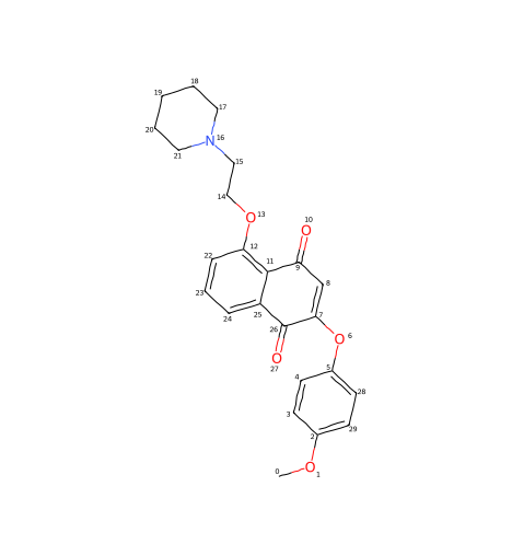 COc1ccc(OC2=CC(=O)c3c(OCCN4CCCCC4)cccc3C2=O)cc1